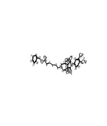 C[C@]12CN(CCCCCC(=O)OCc3ccccc3)C[C@](C)(O1)[C@H]1C(=O)N(c3ccc(C#N)c(C(F)(F)F)c3)C(=O)[C@H]12